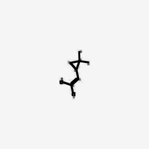 CC1(C)[CH]C1C=C(Cl)Cl